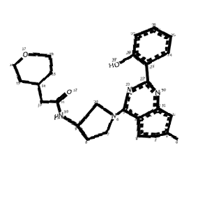 Cc1ccc2c(N3CCC(NC(=O)CC4CCOCC4)C3)nc(-c3ccccc3O)nc2c1